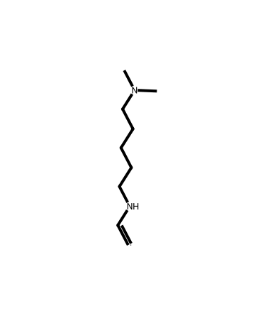 [CH]=CNCCCCCN(C)C